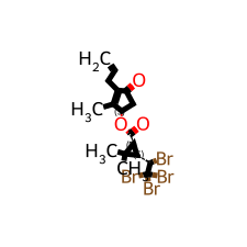 C=CCC1=C(C)[C@@H](OC(=O)[C@@H]2[C@H](C(Br)C(Br)(Br)Br)C2(C)C)CC1=O